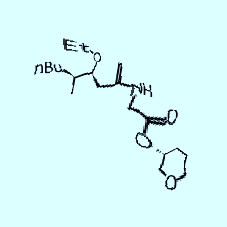 C=C(C[C@H](OCC)[C@@H](C)CCCC)NCC(=O)O[C@@H]1CCCOC1